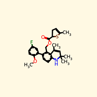 COc1ccc(F)cc1-c1ccc2c(c1COC(=O)C1CC=C(C)S1)C(C)=CC(C)(C)N2